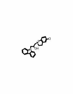 OC(CN1CCc2cc(Cl)ccc2S1)Cn1c2ccccc2c2ccccc21